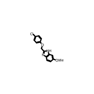 COc1ccc2nc(COc3ccc(Cl)cc3)[nH]c2c1